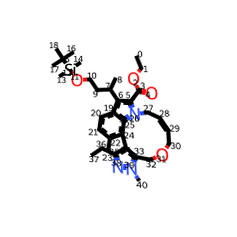 CCOC(=O)c1c(C(C)CCO[Si](C)(C)C(C)(C)C)c2ccc(C)c3c2n1C/C=C\COCc1c-3c(CC)nn1C